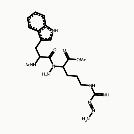 COC(=O)C(CCCNC(=N)N=NN)N(N)C(=O)C(Cc1c[nH]c2ccccc12)NC(C)=O